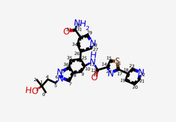 CC(C)(O)CCn1cc2cc(NC(=O)c3csc(-c4cccnc4)n3)c(-c3cncc(C(N)=O)c3)cc2n1